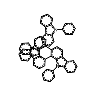 c1ccc(-n2c3ccccc3c3cc(-n4c5ccccc5c5cccc(-c6c(-c7cccc8c7oc7ccccc78)ccc7c8ccccc8n(-c8ccccc8)c67)c54)ccc32)cc1